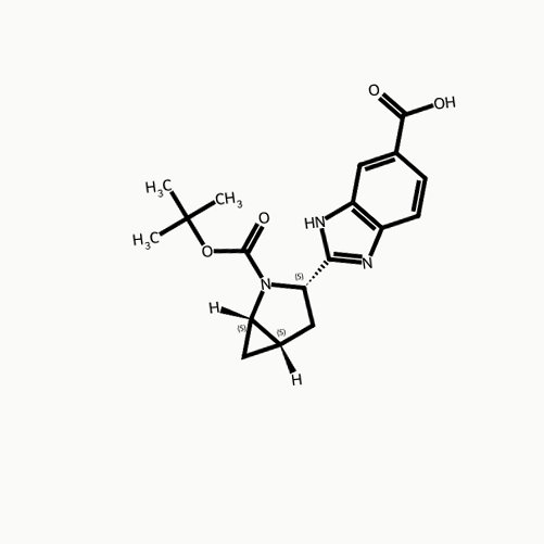 CC(C)(C)OC(=O)N1[C@H](c2nc3ccc(C(=O)O)cc3[nH]2)C[C@@H]2C[C@@H]21